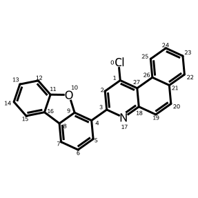 Clc1cc(-c2cccc3c2oc2ccccc23)nc2ccc3ccccc3c12